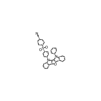 N#Cc1ccc(S(=O)(=O)c2ccc(-n3c4ccccc4c4oc5c6ccccc6n(-c6ccccc6)c5c43)cc2)cc1